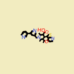 CC(=O)C1=C(C)N(Cc2cncc(-c3cccnc3)c2)C(C)=C(C(=O)O)C1c1csc2ncccc12